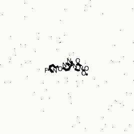 COC(=O)N1CCN(c2cn(C)c3nc(OCc4ccc(F)cn4)ccc23)C(=O)C1